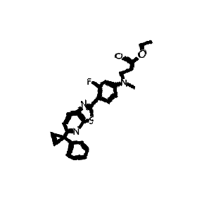 CCOC(=O)CCN(C)c1ccc(-c2nc3ccc(C4(c5ccccc5)C=C4)nc3s2)c(F)c1